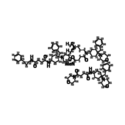 CNC(=O)CCC(=O)N(CCCN(C)C)C1CCC(Cc2ccccc2)(N2CCOCC2)CC1.O=C(CCC(=O)N1CCOCC1)NC1CCC(Cc2ccccc2)(N2CCOCC2)CC1.O=C(CCC(=O)NC1CC1c1ccccc1)NC1CCC(Cc2ccccc2)(N2CCOCC2)CC1